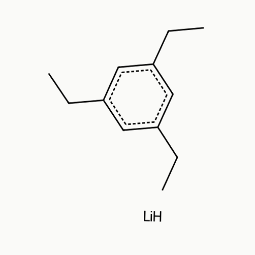 CCc1cc(CC)cc(CC)c1.[LiH]